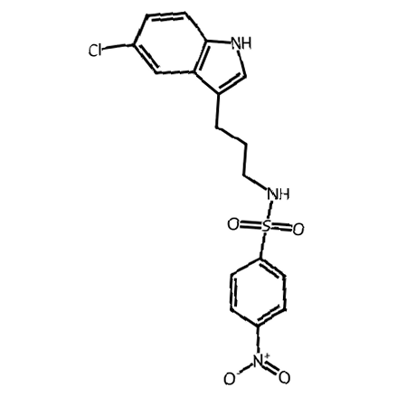 O=[N+]([O-])c1ccc(S(=O)(=O)NCCCc2c[nH]c3ccc(Cl)cc23)cc1